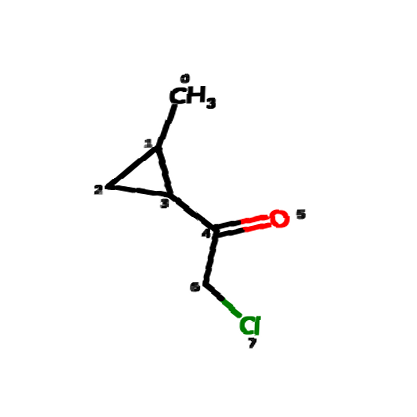 CC1CC1C(=O)CCl